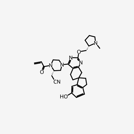 C=CC(=O)N1CCN(c2nc(OC[C@@H]3CCCN3C)nc3c2CCC2(CCc4ccc(O)cc42)C3)C[C@@H]1CC#N